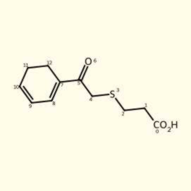 O=C(O)CCSCC(=O)C1=CC=CCC1